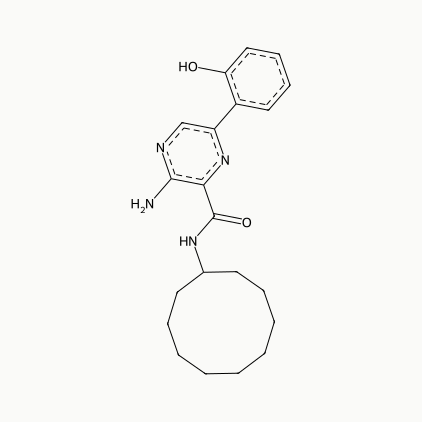 Nc1ncc(-c2ccccc2O)nc1C(=O)NC1CCCCCCCCC1